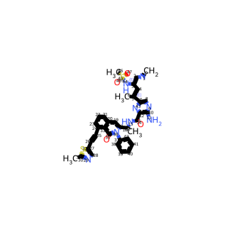 C=N/C=C(\C=C(/C)c1cnc(N)c(C(=O)NC(C)c2cc3cccc(C#Cc4cnc(C)s4)c3c(=O)n2-c2ccccc2)n1)NS(C)(=O)=O